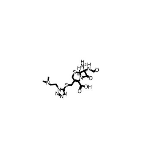 CN(C)CCn1nnnc1SCC1=C(C(=O)O)N2C(=O)[C@](N)(NC=O)[C@H]2SC1